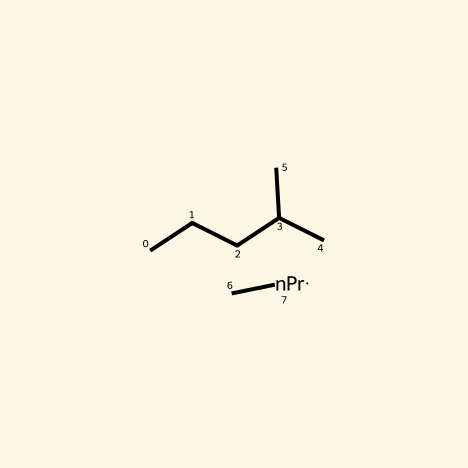 CCCC(C)C.C[CH]CC